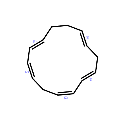 [CH]1/C=C/C/C=C/C=C\C/C=C\C=C\C1